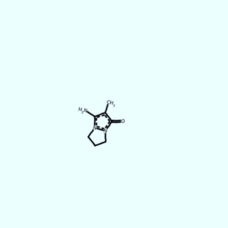 Cc1c(N)n2n(c1=O)CCC2